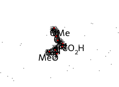 COCCCc1nc2c(COC3CN(C(=O)O)CCC3c3ccc(OCCCOCc4ccccc4OC)cc3)cccc2n1COCC[Si](C)(C)C